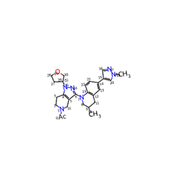 CC(=O)N1CCc2c(c(N3CC(C)Cc4cc(-c5cnn(C)c5)ccc43)nn2[C@H]2CCOC2)C1